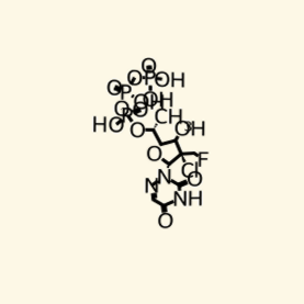 C[C@@H](OP(=O)(O)OP(=O)(O)OP(=O)(O)O)[C@H]1O[C@@H](n2ncc(=O)[nH]c2=O)[C@@](Cl)(CF)C1O